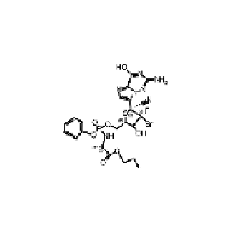 CCCOC(=O)[C@H](C)NP(=O)(OC[C@H]1O[C@@](C#N)(c2cnc3c(O)nc(N)nn23)[C@@](F)(Br)C1O)Oc1ccccc1